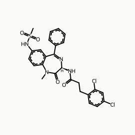 CN1C(=O)[C@H](NC(=O)CCc2ccc(Cl)cc2Cl)N=C(c2ccccc2)c2cc(NS(C)(=O)=O)ccc21